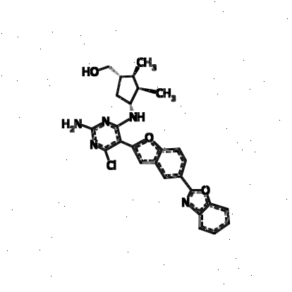 C[C@@H]1[C@@H](CO)C[C@@H](Nc2nc(N)nc(Cl)c2-c2cc3cc(-c4nc5ccccc5o4)ccc3o2)[C@@H]1C